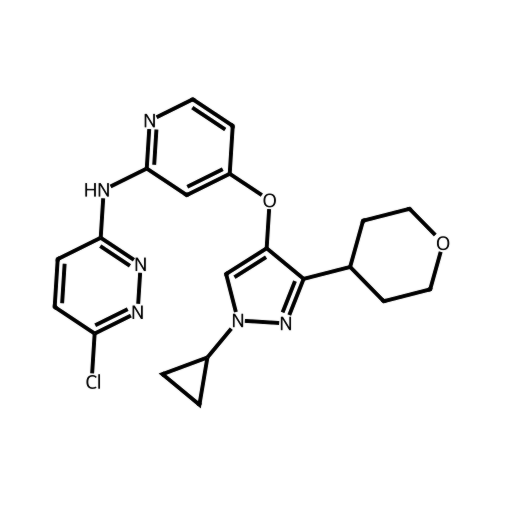 Clc1ccc(Nc2cc(Oc3cn(C4CC4)nc3C3CCOCC3)ccn2)nn1